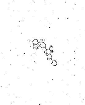 CC(C)[C@@H](NC(=O)CNc1ccccc1)C(=O)N1CC[C@](O)(c2ccc(Cl)cc2)C(C)(C)C1